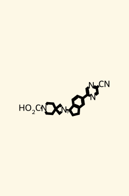 N#Cc1cnc(-c2ccc3c(c2)CC[C@H]3N2CC3(CCN(C(=O)O)CC3)C2)cn1